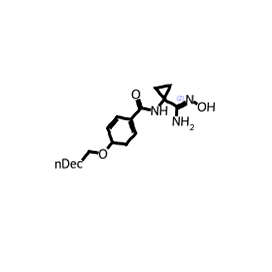 CCCCCCCCCCCOC1C=CC(C(=O)NC2(/C(N)=N/O)CC2)=CC1